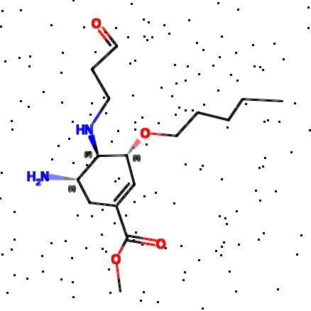 CCCCCO[C@@H]1C=C(C(=O)OC)C[C@H](N)[C@H]1NCCC=O